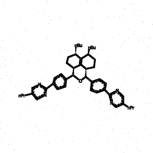 CCCC[C@H]1CC[C@H](C(OC(c2ccc(-c3ncc(CCC)cn3)cc2)[C@H]2CC[C@H](CCCC)CC2)c2ccc(-c3ncc(CCC)cn3)cc2)CC1